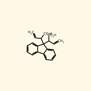 C=CC(C(=O)O)C1(C(C=C)C(=O)O)c2ccccc2-c2ccccc21